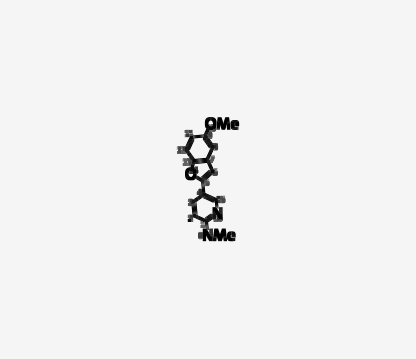 CNc1ccc(-c2cc3cc(OC)ccc3o2)cn1